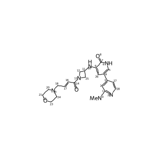 CNc1cc(-c2c[nH]c(=O)c(NC3CN(C(=O)C=CCN4CCOCC4)C3)c2)ccn1